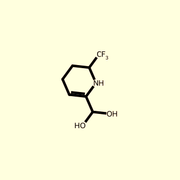 OC(O)C1=CCCC(C(F)(F)F)N1